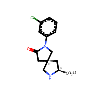 CCOC(=O)[C@@H]1C[C@@]2(CN1)CC(=O)N(c1cccc(Cl)c1)C2